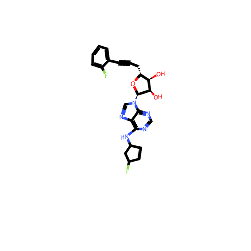 O[C@@H]1[C@H](O)[C@@H](CC#Cc2ccccc2F)O[C@H]1n1cnc2c(NC3CCC(F)C3)ncnc21